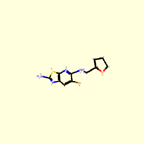 Nc1nc2cc(Br)c(NCC3CCCO3)nc2s1